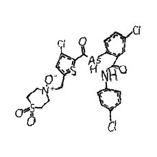 O=C(Nc1ccc(Cl)cc1)c1cc(Cl)ccc1[AsH]C(=O)c1sc(C[N+]2([O-])CCS(=O)(=O)CC2)cc1Cl